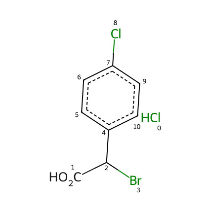 Cl.O=C(O)C(Br)c1ccc(Cl)cc1